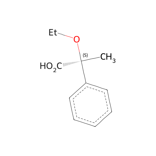 CCO[C@](C)(C(=O)O)c1ccccc1